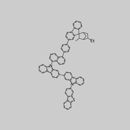 CCC1CC2CC1C(C)C21c2ccccc2-c2ccc(-c3ccc(-c4cccc5c(-n6c7ccccc7c7ccc(-c8ccc9c%10ccccc%10n(-c%10ccc%11c(c%10)sc%10ccccc%10%11)c9c8)cc76)cccc45)cc3)cc21